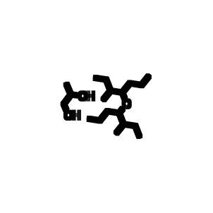 CC(O)CO.CCCC(OC(CCC)C(C)CC)C(C)CC